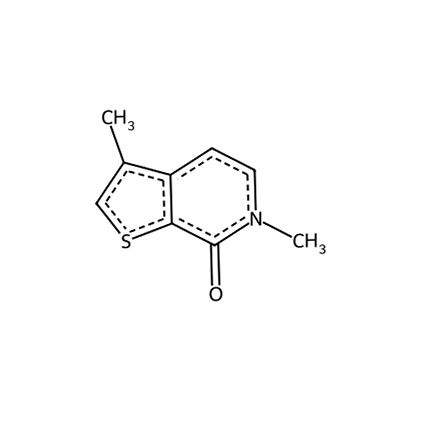 Cc1csc2c(=O)n(C)ccc12